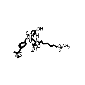 Cc1ncsc1-c1ccc(CNC(=O)[C@@H]2C[C@@H](O)CN2C(=O)C(NC(=O)CCCCCCOC(N)=O)C(C)(C)S)cc1